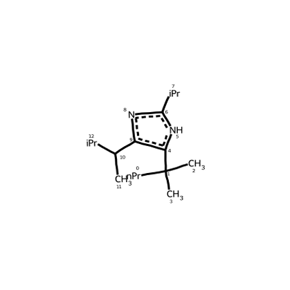 CCCC(C)(C)c1[nH]c(C(C)C)nc1C(C)C(C)C